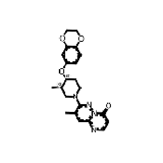 Cc1cc2nccc(=O)n2nc1N1CC[C@H](Oc2ccc3c(c2)OCCO3)[C@H](C)C1